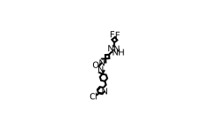 O=C(N1CC2(CCC(Cc3ccc(Cl)cn3)CC2)C1)N1CC2(CC(c3nc(C4CC(F)(F)C4)n[nH]3)C2)C1